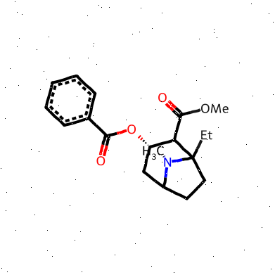 CCC12CCC(C[C@H](OC(=O)c3ccccc3)C1C(=O)OC)N2C